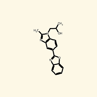 Cc1nc2cc(-c3nc4ccccc4o3)ccc2n1CC(C)O